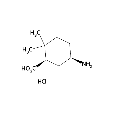 CC1(C)CC[C@@H](N)C[C@H]1C(=O)O.Cl